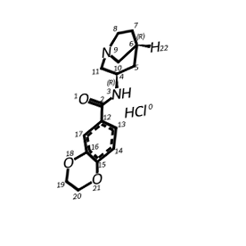 Cl.O=C(N[C@@H]1C[C@H]2CCN(C2)C1)c1ccc2c(c1)OCCO2